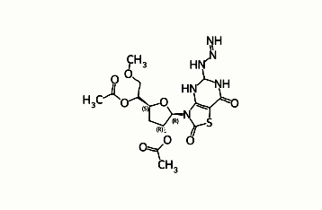 COCC(OC(C)=O)[C@@H]1C[C@@H](OC(C)=O)[C@H](n2c3c(sc2=O)C(=O)NC(NN=N)N3)O1